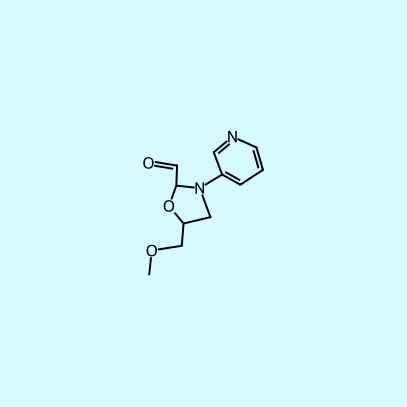 COCC1CN(c2cccnc2)C(C=O)O1